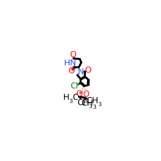 CC1(C)OB(c2ccc3c(c2Cl)CN(C2CCC(=O)NC2=O)C3=O)OC1(C)C